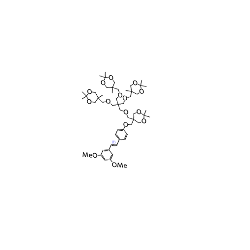 COc1cc(/C=C/c2ccc(OCC3(COCC(COCC4(C)COC(C)(C)OC4)(COCC4(C)COC(C)(C)OC4)COCC4(C)COC(C)(C)OC4)COC(C)(C)OC3)cc2)cc(OC)c1